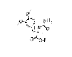 COc1ccc(CC(C)(NC(N)=O)C(=O)O)cc1OC